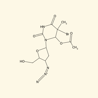 CC(=O)OC1N(C2CC(N=[N+]=[N-])C(CO)O2)C(=O)NC(=O)C1(C)Br